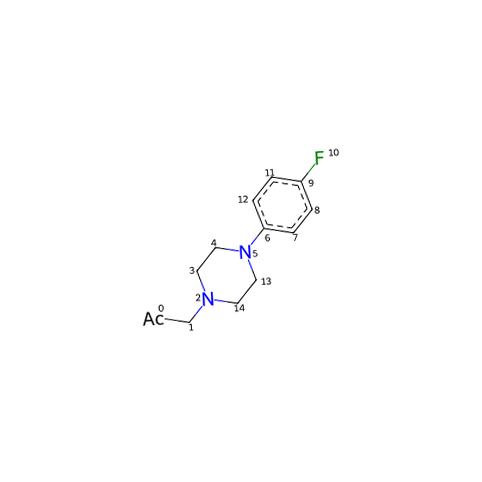 CC(=O)CN1CCN(c2ccc(F)cc2)CC1